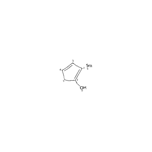 OC1=CC=CC1.[Sm]